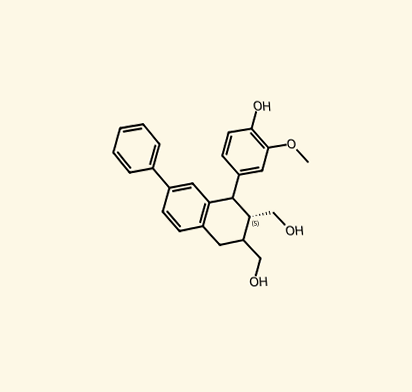 COc1cc(C2c3cc(-c4ccccc4)ccc3CC(CO)[C@H]2CO)ccc1O